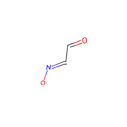 [O]/N=C/C=O